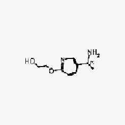 C[C@H](N)c1ccc(OCCO)nc1